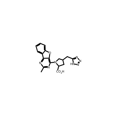 Cc1nc(N2CC(Cc3nnn[nH]3)CC2C(=O)O)c2oc3ccccc3c2n1